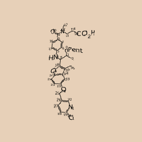 CCCCCC(C)C(Nc1ccc(C(=O)N(C)CCC(=O)O)cc1)c1oc2ccc(OCc3ccc(Cl)nc3)cc2c1C